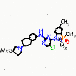 CO[C@H]1CCN(C2CCc3ccc(Nc4ncc(Cl)c(Nc5ccc(C)cc5P(C)(C)=O)n4)cc3CC2)C1